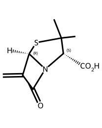 C=C1C(=O)N2[C@@H]1SC(C)(C)[C@@H]2C(=O)O